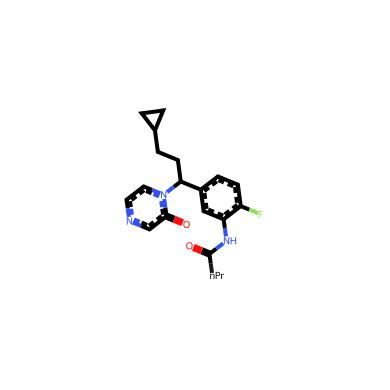 CCCC(=O)Nc1cc(C(CCC2CC2)n2ccncc2=O)ccc1F